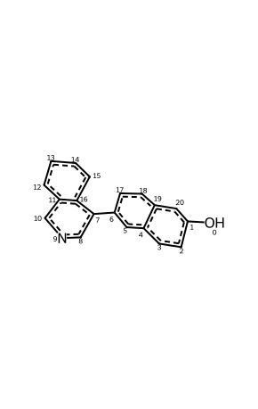 Oc1ccc2cc(-c3cncc4ccccc34)ccc2c1